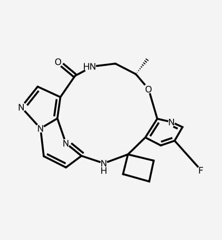 C[C@H]1CNC(=O)c2cnn3ccc(nc23)NC2(CCC2)c2cc(F)cnc2O1